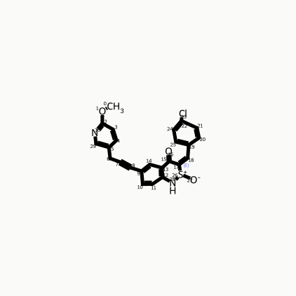 COc1ccc(CC#Cc2ccc3c(c2)C(=O)/C(=C\c2ccc(Cl)cc2)[S+]([O-])N3)cn1